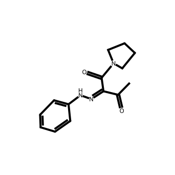 CC(=O)/C(=N/Nc1ccccc1)C(=O)N1CCCC1